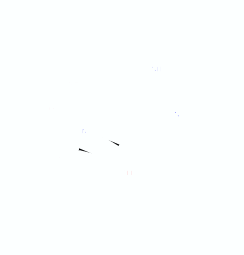 C[C@@H](O)[C@H]1C(=O)N2C(C(=O)O)=C(S[C@@H]3CN[C@H](C(=O)N(C)C)C3)[C@H](C)[C@]12C